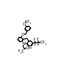 OC(CNc1cccc(OCc2cccc(OC(F)(F)F)c2)c1Cc1cccc(C(F)(F)C(F)(F)C(F)(F)F)c1)C(F)(F)F